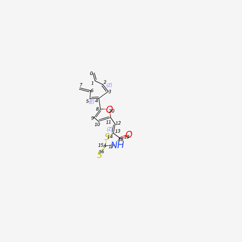 C=C/C=C\C(=C/C=C)c1ccc(/C=C2\SC(=S)NC2=O)o1